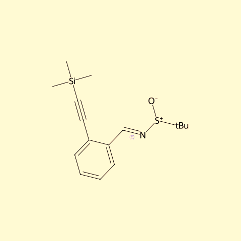 CC(C)(C)[S+]([O-])/N=C/c1ccccc1C#C[Si](C)(C)C